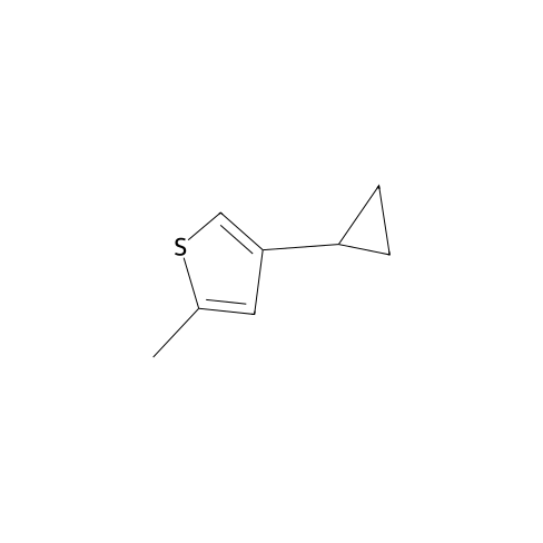 Cc1cc(C2CC2)cs1